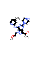 CCOCCn1nc(C(C)O)c2nc(N3CCNCC3)nc(Nc3cc(C)ccn3)c21